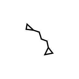 [CH](CC1CC1)CC1CC1